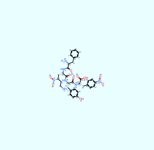 NCCC(C[C@H](NC(=O)[C@@H](N)Cc1ccccc1)C(=O)N[C@@H](Cc1ccc(O)cc1)C(=O)N[C@@H](Cc1ccc([N+](=O)[O-])cc1)C(=O)O)[N+](=O)[O-]